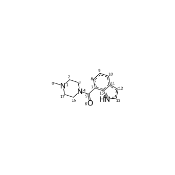 CN1CCN(C(=O)c2cccc3[c]c[nH]c23)CC1